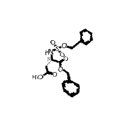 O=C(O)C[C@H](NS(=O)(=O)OCc1ccccc1)C(=O)OCc1ccccc1